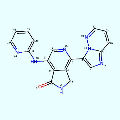 O=C1NCc2c(-c3cnc4cccnn34)ncc(Nc3ccccn3)c21